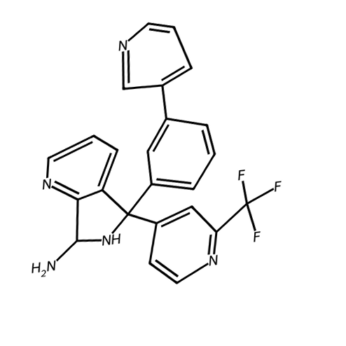 NC1NC(c2cccc(-c3cccnc3)c2)(c2ccnc(C(F)(F)F)c2)c2cccnc21